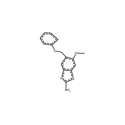 COc1cc2sc(N)nc2cc1COc1ccccc1